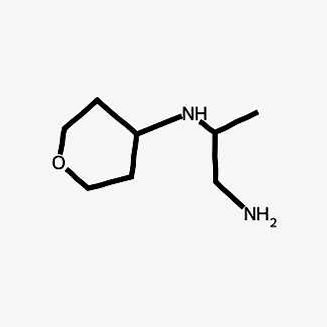 CC(CN)NC1CCOCC1